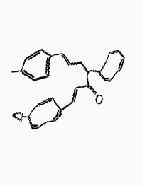 Cc1ccc(C=CCC(C(=O)C=Cc2ccc(Cl)cc2)c2ccccc2)cc1